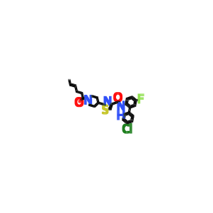 C/C=C/CCC(=O)N1CCC(c2nc(C(=O)Nc3ccc(F)cc3-c3ccc(Cl)cc3)cs2)CC1